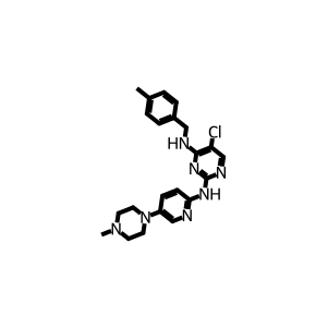 Cc1ccc(CNc2nc(Nc3ccc(N4CCN(C)CC4)cn3)ncc2Cl)cc1